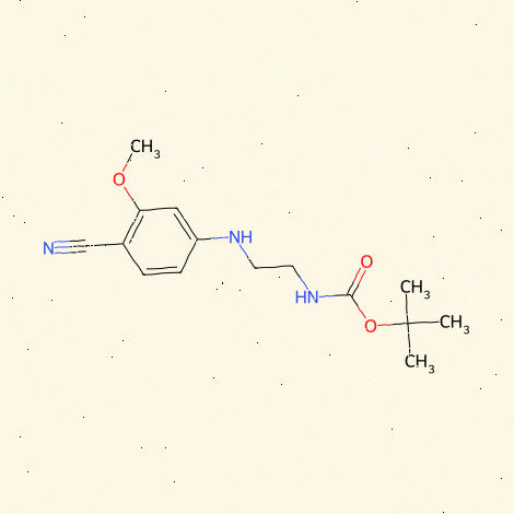 COc1cc(NCCNC(=O)OC(C)(C)C)ccc1C#N